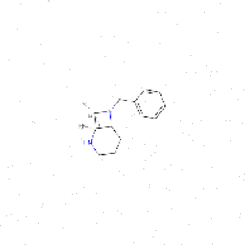 C[C@H]1[C@@H]2NCCCC2N1Cc1ccccc1